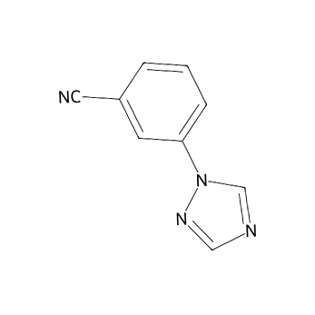 N#Cc1cccc(-n2cncn2)c1